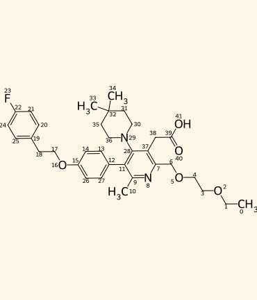 CCOCCOCc1nc(C)c(-c2ccc(OCCc3ccc(F)cc3)cc2)c(N2CCC(C)(C)CC2)c1CC(=O)O